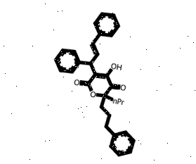 CCCC1(CCCc2ccccc2)OC(=O)C(C(C=Cc2ccccc2)c2ccccc2)=C(O)C1=O